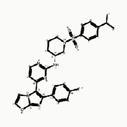 CC(C)c1ccc(S(=O)(=O)N2CCC[C@@H](Nc3nccc(-c4c(-c5ccc(F)cc5)nc5occn45)n3)C2)cc1